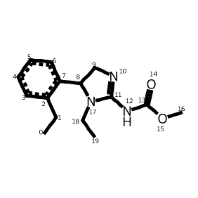 CCc1ccccc1C1CN=C(NC(=O)OC)N1CC